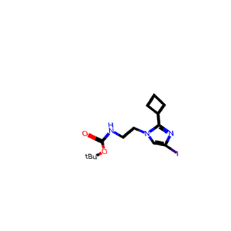 CC(C)(C)OC(=O)NCCn1cc(I)nc1C1CCC1